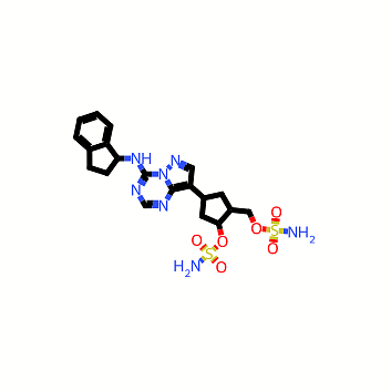 NS(=O)(=O)OCC1CC(c2cnn3c(NC4CCc5ccccc54)ncnc23)CC1OS(N)(=O)=O